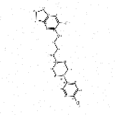 Fc1cc2c(cc1OCCCN1CCN(c3ccc(Cl)cc3)CC1)CCC2